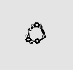 C[Si]1(C)Cc2ccc(cc2)-n2cnc3ccc4oc(nc4c32)C[Si](C)(C)c2nc3c(ccc4ncn(c43)-c3ccc1cc3)o2